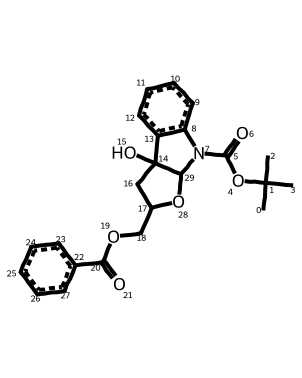 CC(C)(C)OC(=O)N1c2ccccc2C2(O)CC(COC(=O)c3ccccc3)OC12